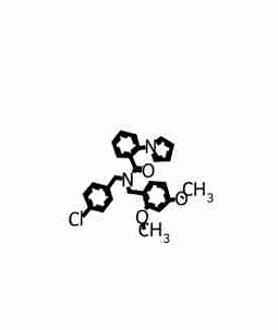 COc1ccc(CN(Cc2ccc(Cl)cc2)C(=O)c2ccccc2-n2cccc2)c(OC)c1